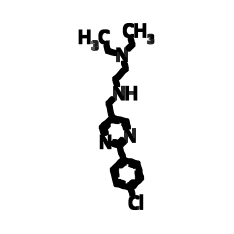 CCN(CC)CCNCc1cnc(-c2ccc(Cl)cc2)nc1